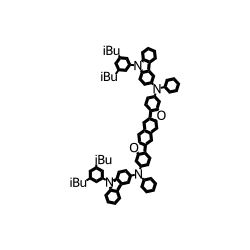 CCC(C)c1cc(C(C)CC)cc(-n2c3ccccc3c3cc(N(c4ccccc4)c4ccc5c(c4)oc4cc6cc7c(cc6cc45)oc4cc(N(c5ccccc5)c5ccc6c(c5)c5ccccc5n6-c5cc(C(C)CC)cc(C(C)CC)c5)ccc47)ccc32)c1